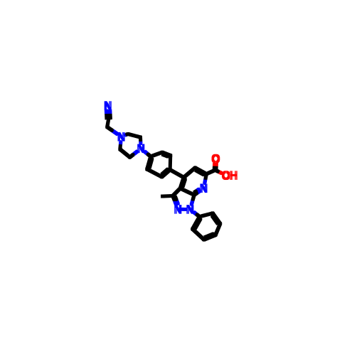 Cc1nn(-c2ccccc2)c2nc(C(=O)O)cc(-c3ccc(N4CCN(CC#N)CC4)cc3)c12